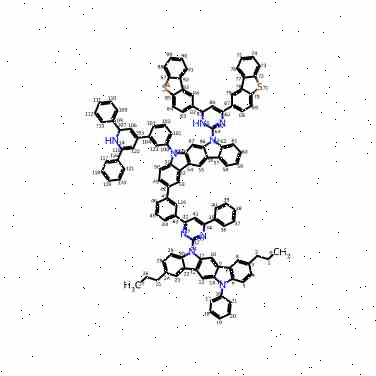 CCCc1ccc2c(c1)c1cc3c(cc1n2-c1ccccc1)c1cc(CCC)ccc1n3-c1nc(-c2ccccc2)cc(-c2cccc(-c3ccc4c(c3)c3cc5c6ccccc6n(C6=NC(c7ccc8sc9ccccc9c8c7)=CC(c7ccc8sc9ccccc9c8c7)N6)c5cc3n4-c3cccc(C4=CC(c5ccccc5)NC(c5ccccc5)=C4)c3)c2)n1